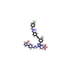 CS(=O)(=O)N1CCc2c(c(-c3ccc(Cl)c(C#Cc4ccc(CNCc5ccc(Cl)cc5)cc4)c3)nn2CCCN2CCC(N3CCCC3=O)CC2)C1